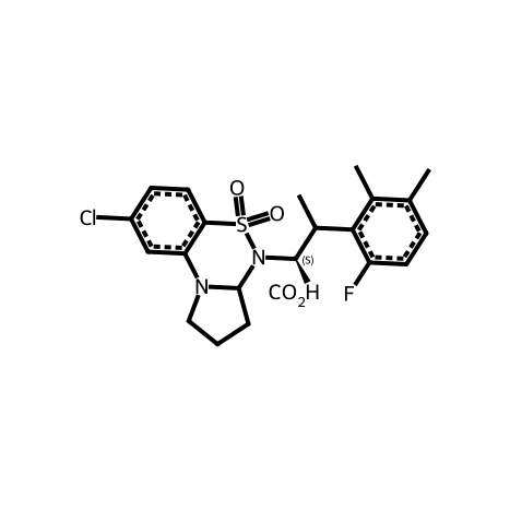 Cc1ccc(F)c(C(C)[C@@H](C(=O)O)N2C3CCCN3c3cc(Cl)ccc3S2(=O)=O)c1C